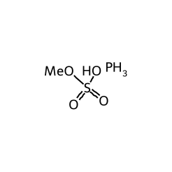 COS(=O)(=O)O.P